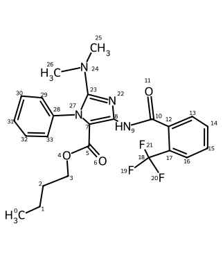 CCCCOC(=O)c1c(NC(=O)c2ccccc2C(F)(F)F)nc(N(C)C)n1-c1ccccc1